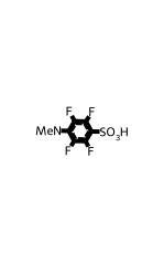 CNc1c(F)c(F)c(S(=O)(=O)O)c(F)c1F